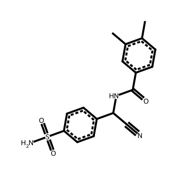 Cc1ccc(C(=O)NC(C#N)c2ccc(S(N)(=O)=O)cc2)cc1C